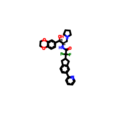 O=C(N[C@H](CN1CCCC1)[C@H](O)c1ccc2c(c1)OCCO2)C(F)(F)C1Cc2ccc(-c3ccccn3)cc2C1